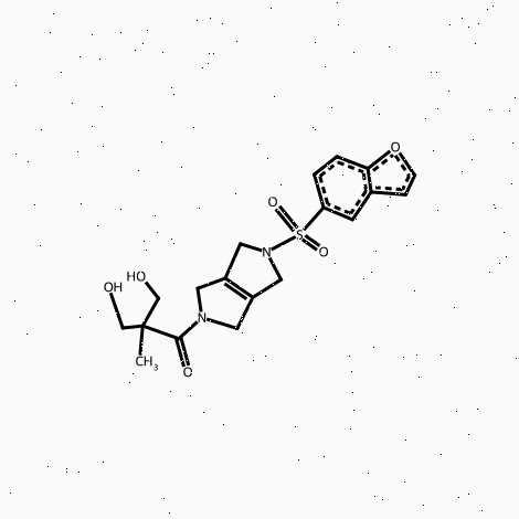 CC(CO)(CO)C(=O)N1CC2=C(C1)CN(S(=O)(=O)c1ccc3occc3c1)C2